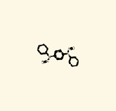 O=NN(c1ccc(N(N=O)C2CCCCC2)cc1)C1CCCCC1